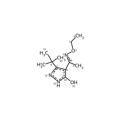 CCON=C(C)c1c(C(C)(C)C)n[nH]c1O